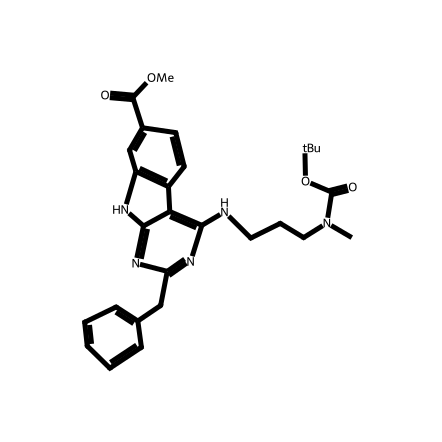 COC(=O)c1ccc2c(c1)[nH]c1nc(Cc3ccccc3)nc(NCCCN(C)C(=O)OC(C)(C)C)c12